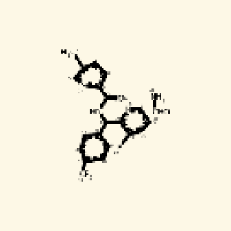 Cc1ccc(C(=O)NC(c2ccc(C(F)(F)F)cc2)c2ncccc2F)nc1.NC=O